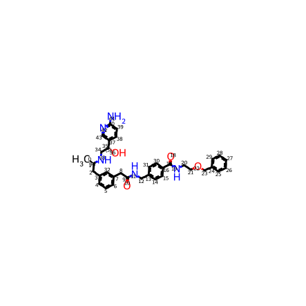 C[C@H](Cc1cccc(CC(=O)NCc2ccc(C(=O)NCCOCc3ccccc3)cc2)c1)NC[C@@H](O)c1ccc(N)nc1